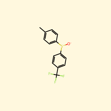 Cc1ccc([S+]([O-])c2ccc(C(F)(F)F)cc2)cc1